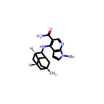 CC(C)(C)n1ccc2c(NC3C4C[C@H]5C[C@@H]3C[C@](C)(C4)C5)c(C(N)=O)cnc21